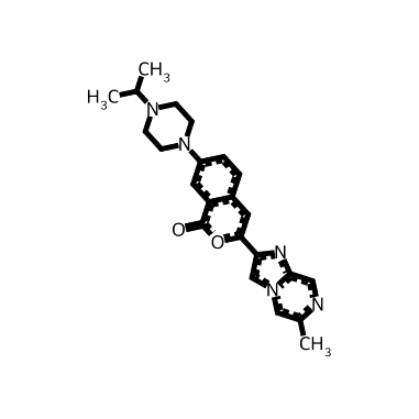 Cc1cn2cc(-c3cc4ccc(N5CCN(C(C)C)CC5)cc4c(=O)o3)nc2cn1